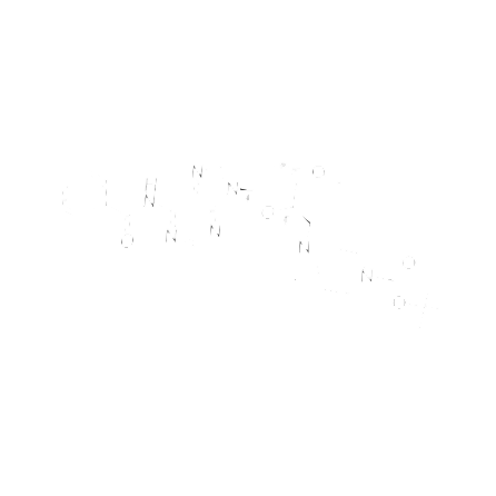 CCO[C@H]1[C@@H](C)[C@H](n2cnc3c(NC(=O)c4ccccc4)ncnc32)O[C@@H]1CN1CCC12CCN(C(=O)OC(C)(C)C)CC2